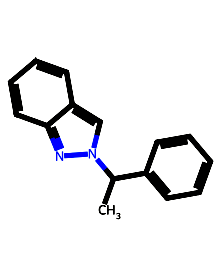 CC(c1ccccc1)n1cc2c[c]ccc2n1